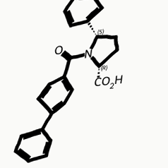 O=C(O)[C@H]1CC[C@@H](c2ccccc2)N1C(=O)c1ccc(-c2ccccc2)cc1